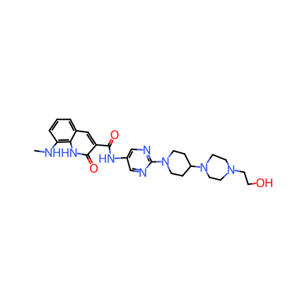 CNc1cccc2cc(C(=O)Nc3cnc(N4CCC(N5CCN(CCO)CC5)CC4)nc3)c(=O)[nH]c12